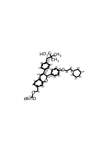 CC(C)(C)C(=O)OCc1ccc2c(c1)OC(c1ccc(OCCN3CCCCC3)cc1)C(c1ccc(CC(C)(C)C(=O)O)cc1)=C2